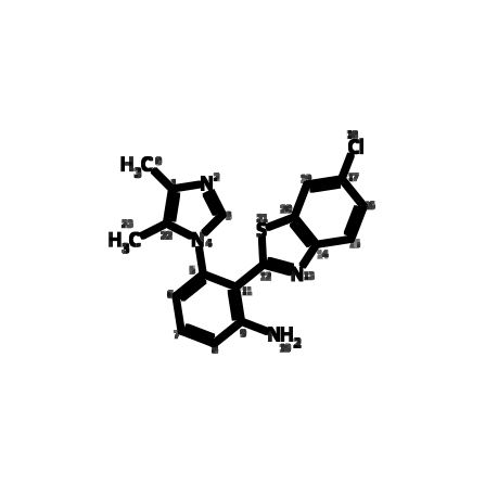 Cc1ncn(-c2cccc(N)c2-c2nc3ccc(Cl)cc3s2)c1C